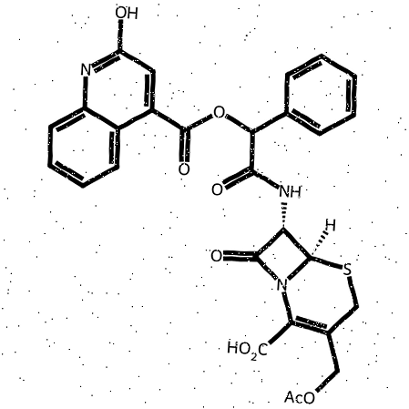 CC(=O)OCC1=C(C(=O)O)N2C(=O)[C@H](NC(=O)C(OC(=O)c3cc(O)nc4ccccc34)c3ccccc3)[C@H]2SC1